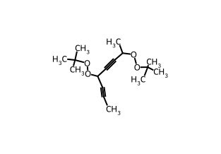 CC#CC(C#CC(C)OOC(C)(C)C)OOC(C)(C)C